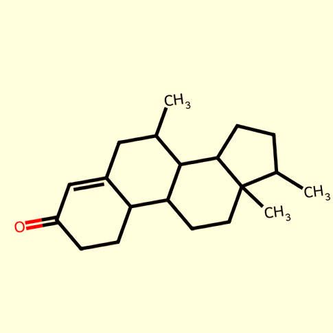 CC1CC2=CC(=O)CCC2C2CCC3(C)C(C)CCC3C12